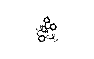 COC(=O)COc1cccc(CN(C)c2cnc(-c3ccccc3)c(-c3ccccc3)n2)c1